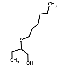 CCCCCCSC(CC)CO